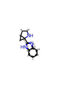 c1ccc2[nH]c(C34CC3CCN4)nc2c1